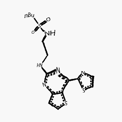 CCCCS(=O)(=O)NCCNc1nc(-c2nccs2)c2sccc2n1